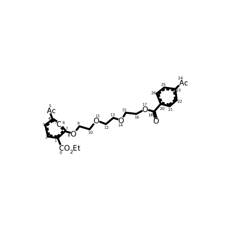 CCOC(=O)c1ccc(C(C)=O)cc1OCCOCCOCCOC(=O)c1ccc(C(C)=O)cc1